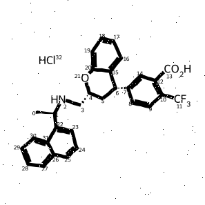 C[C@@H](NC[C@H]1C[C@@H](c2ccc(C(F)(F)F)c(C(=O)O)c2)c2ccccc2O1)c1cccc2ccccc12.Cl